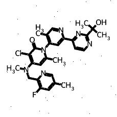 Cc1cnc(CN(C)c2cc(C)n(-c3cc(-c4ccnc(C(C)(C)O)n4)ncc3C)c(=O)c2Cl)c(F)c1